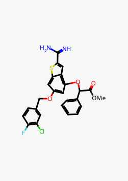 COC(=O)C(Oc1cc(OCc2ccc(F)c(Cl)c2)cc2sc(C(=N)N)cc12)c1ccccc1